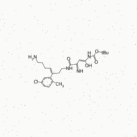 Cc1ccc(Cl)cc1/C(=C\CCCN)CCNC(=O)C(=N)/C=C(\O)NC(=O)OC(C)(C)C